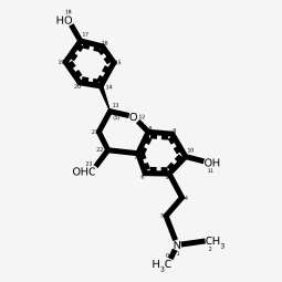 CN(C)CCc1cc2c(cc1O)O[C@H](c1ccc(O)cc1)CC2C=O